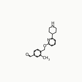 Cc1cc(C=O)ccc1COc1cccc(C2CCNCC2)n1